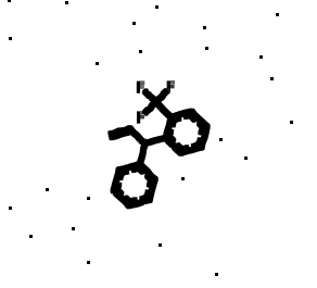 C=C[C](c1ccccc1)c1ccccc1C(F)(F)F